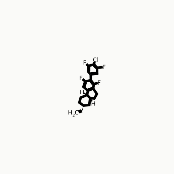 C=C[C@@H]1CC[C@@H]2c3cc(F)c(-c4cc(F)c(Cl)c(F)c4)c(F)c3CC[C@@H]2C1